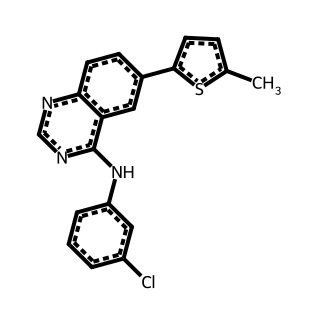 Cc1ccc(-c2ccc3ncnc(Nc4cccc(Cl)c4)c3c2)s1